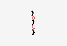 C=CCOC=CCOCC=C